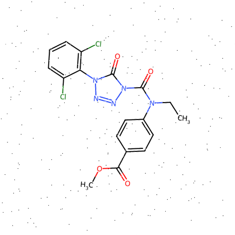 CCN(C(=O)n1nnn(-c2c(Cl)cccc2Cl)c1=O)c1ccc(C(=O)OC)cc1